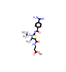 CC(C)OC(=O)CCNC(=O)C1SC(=NC(=O)c2ccc(C(=N)N)cc2)N(C)C1C.CS(=O)(=O)O